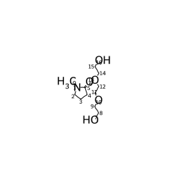 CN1CCCC1=O.OCCOCCOCCO